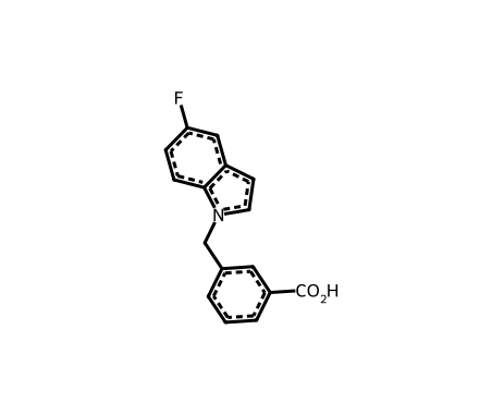 O=C(O)c1cccc(Cn2ccc3cc(F)ccc32)c1